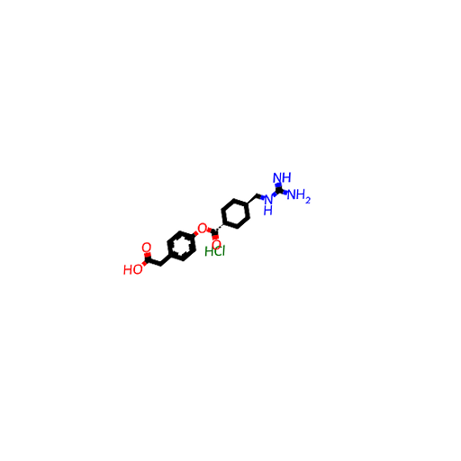 Cl.N=C(N)NC[C@H]1CC[C@H](C(=O)Oc2ccc(CC(=O)O)cc2)CC1